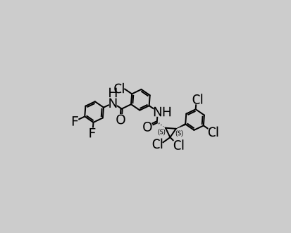 O=C(Nc1ccc(F)c(F)c1)c1cc(NC(=O)[C@@H]2[C@@H](c3cc(Cl)cc(Cl)c3)C2(Cl)Cl)ccc1Cl